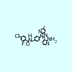 Cc1cnc2c(c1)nc(-c1cccnc1N)n2-c1ccc(CNC(=O)c2ccc(Cl)cc2F)cc1